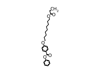 C=CC(=O)OCCCCCCCCCOc1ccc(C(=O)Oc2ccccc2)cc1